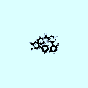 CC(C)C[C@@H](NC(=O)c1cc(C(F)(F)F)ccc1F)C(=O)N1CCC2(CC1)CC(=O)N(C)CC2c1ccccc1